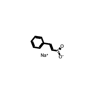 O=S([O-])C=Cc1ccccc1.[Na+]